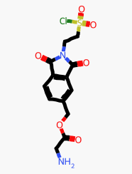 NCC(=O)OCc1ccc2c(c1)C(=O)N(CCS(=O)(=O)Cl)C2=O